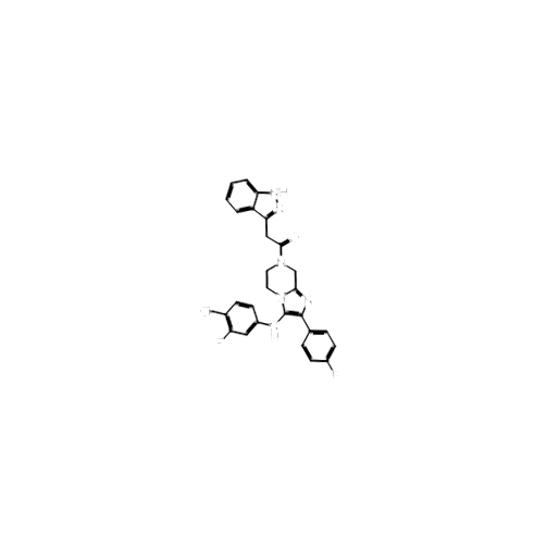 O=C(Cc1n[nH]c2ccccc12)N1CCn2c(nc(-c3ccc(F)cc3)c2Nc2ccc(Cl)c(F)c2)C1